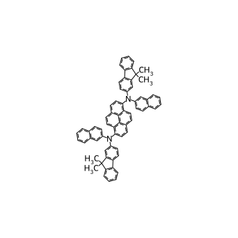 CC1(C)c2ccccc2-c2ccc(N(c3ccc4ccccc4c3)c3ccc4ccc5c(N(c6ccc7c(c6)C(C)(C)c6ccccc6-7)c6ccc7ccccc7c6)ccc6ccc3c4c65)cc21